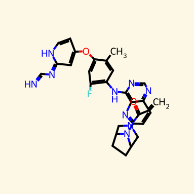 C=CC(=O)N1CC2CCC(C1)N2c1ccc2ncnc(Nc3cc(C)c(Oc4cc[nH]/c(=N\C=N)c4)cc3F)c2n1